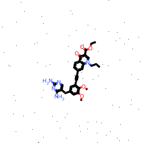 CCCn1cc(C(=O)OCC)c(=O)c2ccc(C#Cc3cc(Cc4cnc(N)nc4N)cc(OC)c3OC)cc21